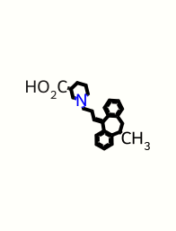 CC1Cc2ccccc2C(=CCCN2CCCC(C(=O)O)C2)c2ccccc21